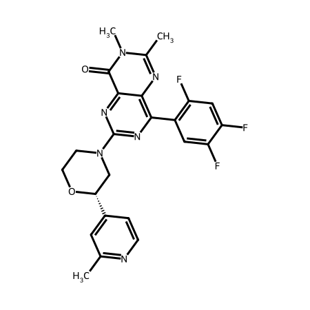 Cc1cc([C@H]2CN(c3nc(-c4cc(F)c(F)cc4F)c4nc(C)n(C)c(=O)c4n3)CCO2)ccn1